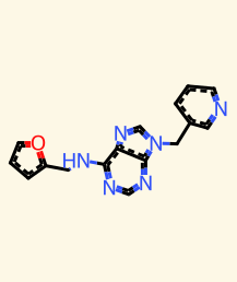 c1cncc(Cn2cnc3c(NCc4ccco4)ncnc32)c1